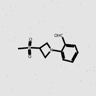 CS(=O)(=O)C1CN(c2ccccc2C=O)C1